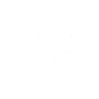 CN(C)CCCc1nn(C)c2cc(-c3cc(Nc4ccc5ccn(C)c5c4)nc(N4CCOCC4)n3)ccc12